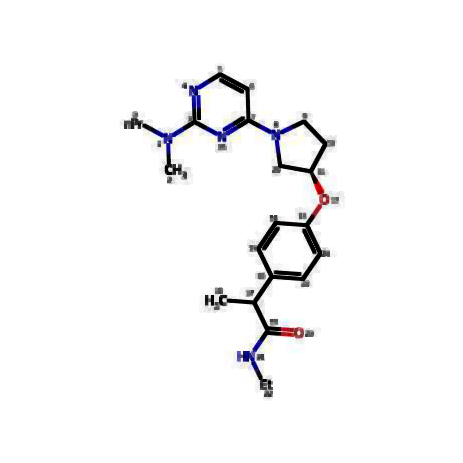 CCCN(C)c1nccc(N2CC[C@@H](Oc3ccc(C(C)C(=O)NCC)cc3)C2)n1